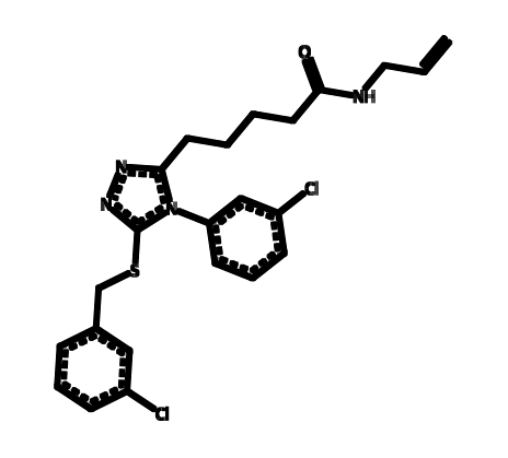 C=CCNC(=O)CCCCc1nnc(SCc2cccc(Cl)c2)n1-c1cccc(Cl)c1